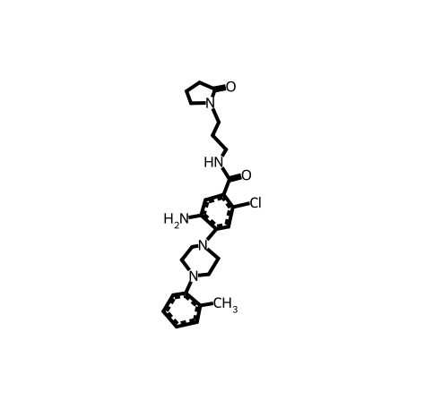 Cc1ccccc1N1CCN(c2cc(Cl)c(C(=O)NCCCN3CCCC3=O)cc2N)CC1